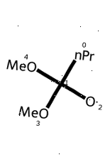 CCCC([O])(OC)OC